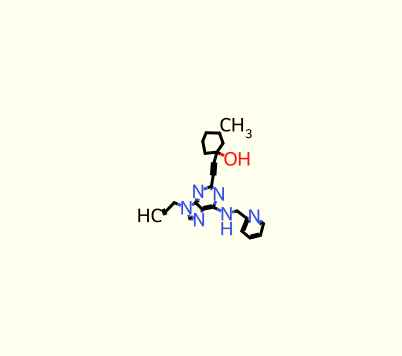 C#CCn1cnc2c(NCc3ccccn3)nc(C#CC3(O)CCCC(C)C3)nc21